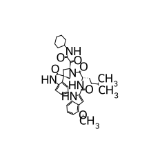 COc1cccc2[nH]c(C(=O)N[C@@H](CCC(C)C)C(=O)N3C[C@]4(C[C@H]3C(=O)C(=O)NC3CCCCC3)C(=O)Nc3ccccc34)cc12